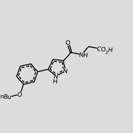 CCCCOc1cccc(-c2cc(C(=O)NCC(=O)O)n[nH]2)c1